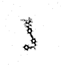 CNC(=O)C(C(=O)NO)N(C)C(=O)c1ccc(C#Cc2ccc(CN(C)CCc3ccccc3)cc2)cc1